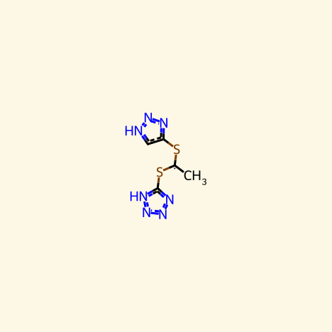 C[C](Sc1c[nH]nn1)Sc1nnn[nH]1